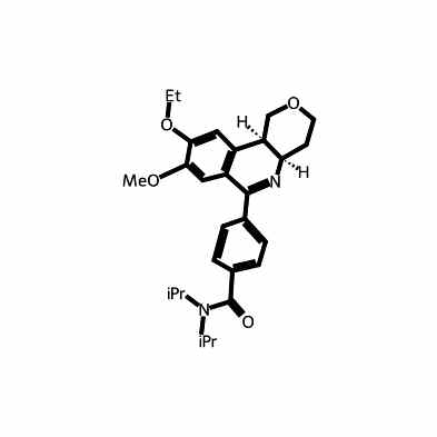 CCOc1cc2c(cc1OC)C(c1ccc(C(=O)N(C(C)C)C(C)C)cc1)=N[C@@H]1CCOC[C@H]21